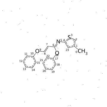 Cc1csc(N=C(C=COc2ccccc2)Oc2ccccc2)c1